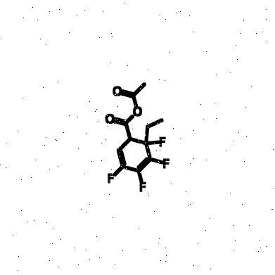 CCC1(F)C(F)=C(F)C(F)=CC1C(=O)OC(C)=O